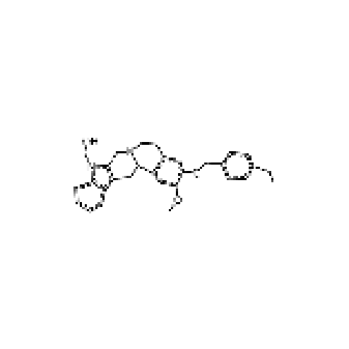 CCc1ccc(COc2cc3c(cc2OC)C2Cc4c(n(CO)c5ccccc45)CN2CC3)cc1